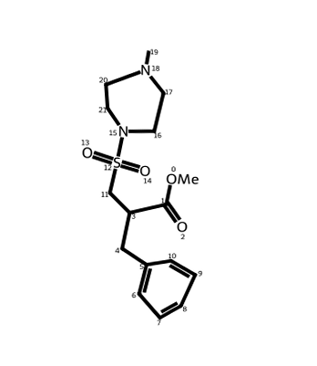 COC(=O)C(Cc1ccccc1)CS(=O)(=O)N1CCN(C)CC1